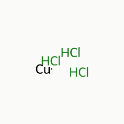 Cl.Cl.Cl.[Cu]